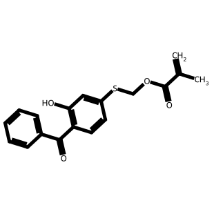 C=C(C)C(=O)OCSc1ccc(C(=O)c2ccccc2)c(O)c1